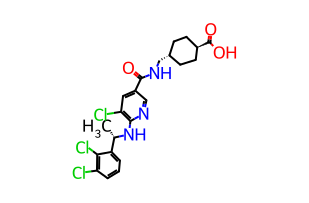 C[C@H](Nc1ncc(C(=O)NC[C@H]2CC[C@H](C(=O)O)CC2)cc1Cl)c1cccc(Cl)c1Cl